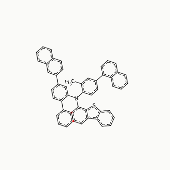 Cc1cc(-c2cccc3ccccc23)ccc1N(c1cc(-c2ccc3ccccc3c2)ccc1-c1ccccc1)c1cccc2c1sc1ccccc12